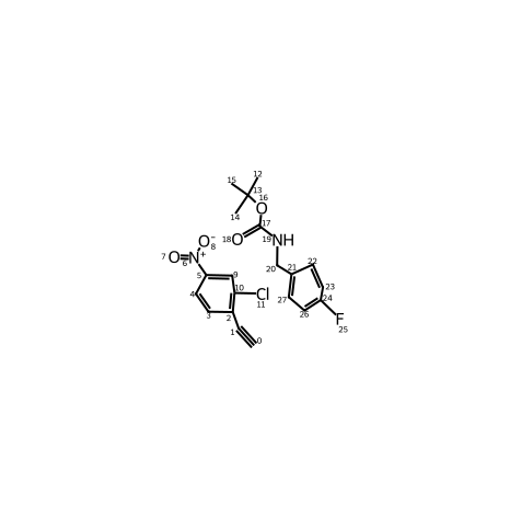 C#Cc1ccc([N+](=O)[O-])cc1Cl.CC(C)(C)OC(=O)NCc1ccc(F)cc1